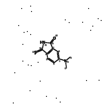 CN(C)c1ccc2c(c1)C(=O)NC2=S